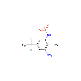 COc1c(N)cc(C(F)(F)C(F)(F)F)cc1N[SH](=O)=O